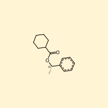 C[C@H](OC(=O)C1CCCCC1)c1ccccc1